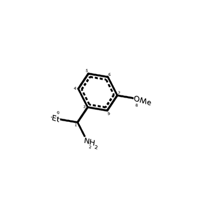 C[CH]C(N)c1cccc(OC)c1